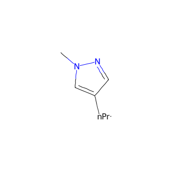 CC[CH]c1cnn(C)c1